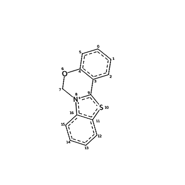 c1ccc2c(c1)OC[n+]1c-2sc2ccccc21